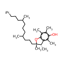 Cc1c(C)c2c(c(C)c1O)[C@H](C)[C@](C)(CCCC(C)CCCC(C)CCCC(C)C)O2